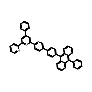 c1ccc(-c2cc(-c3ccccn3)nc(-c3ccc(-c4ccc(-c5c6ccccc6c(-c6ccccc6)c6ccccc56)cc4)cn3)c2)cc1